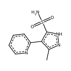 Cc1n[nH]c(S(N)(=O)=O)c1-c1ccccn1